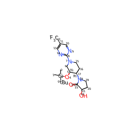 CC(C)(C)[Si](C)(C)O[C@H]1CN(c2ncc(C(F)(F)F)cn2)CC[C@H]1N1CCC(O)C1=O